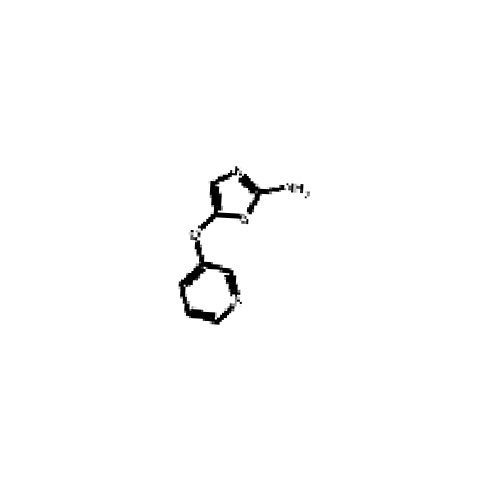 Nc1ncc(Oc2cccnc2)s1